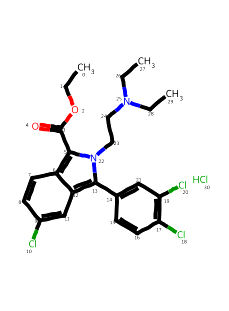 CCOC(=O)c1c2ccc(Cl)cc2c(-c2ccc(Cl)c(Cl)c2)n1CCN(CC)CC.Cl